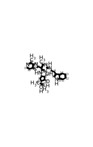 Cc1nc(NCCc2c[nH]c3ccccc23)nc(N[C@@H]2C[C@H](C(C)(C)O)[C@@H](O)[C@H]2O)c1-c1nc2c(C)nccc2s1